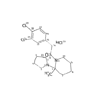 CC1(N2CCCC2)CCCCN1C(=O)Cc1ccc(Cl)c(Cl)c1.Cl